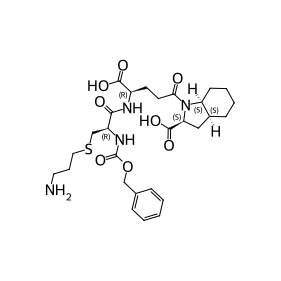 NCCCSC[C@H](NC(=O)OCc1ccccc1)C(=O)N[C@H](CCC(=O)N1[C@H](C(=O)O)C[C@@H]2CCCC[C@@H]21)C(=O)O